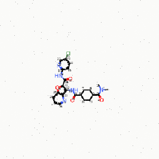 CN(C)C(=O)C1CCC(C(=O)Nc2c(C(=O)Nc3ccc(Cl)cn3)oc3cccnc23)CC1